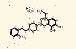 Cc1ccccc1CCN1CCC([C@@H]2Cc3c(ccc(O)c3O)[C@H](CN)O2)CC1.Cl.Cl